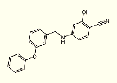 N#Cc1ccc(NCc2cccc(Oc3ccccc3)c2)cc1O